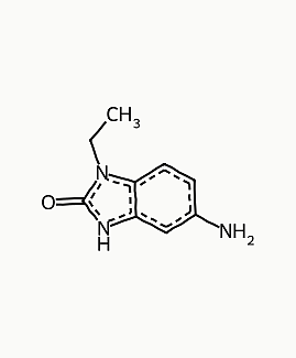 CCn1c(=O)[nH]c2cc(N)ccc21